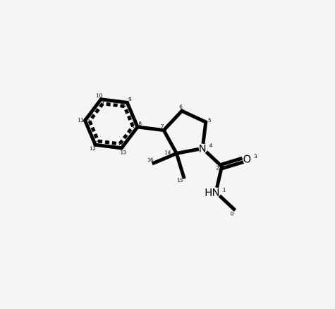 CNC(=O)N1CCC(c2ccccc2)C1(C)C